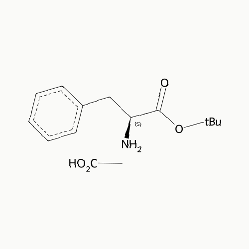 CC(=O)O.CC(C)(C)OC(=O)[C@@H](N)Cc1ccccc1